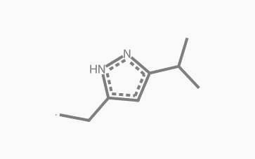 [CH2]Cc1cc(C(C)C)n[nH]1